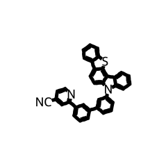 N#Cc1ccnc(-c2cccc(-c3cccc(-n4c5ccccc5c5c6sc7ccccc7c6ccc54)c3)c2)c1